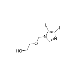 OCCOCn1cnc(I)c1I